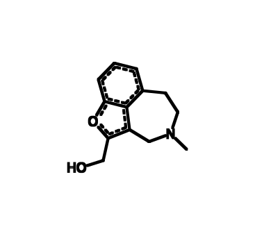 CN1CCc2cccc3oc(CO)c(c23)C1